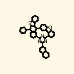 c1ccc(-c2nc(-c3ccc4ccccc4c3)nc(-c3cccc4oc5ccc(-c6ccc(-c7ccccc7)c7sc8ccccc8c67)cc5c34)n2)cc1